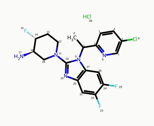 CC(c1ccc(Cl)cn1)n1c(N2CC[C@@H](F)[C@H](N)C2)nc2cc(F)c(F)cc21.Cl